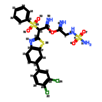 N=C(CNS(N)(=O)=O)OC(=N)C(c1nc2ccc(-c3ccc(Cl)c(Cl)c3)cc2s1)S(=O)(=O)c1ccccc1